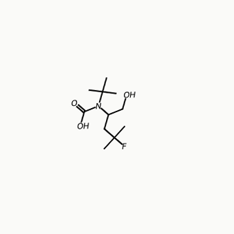 CC(C)(F)CC(CO)N(C(=O)O)C(C)(C)C